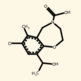 Cc1c(Cl)cc(C(C)O)c2c1CN(C(=O)O)CCO2